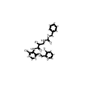 O=C(NCC(F)C(=O)Nc1c(Cl)ncnc1NCc1ncccc1F)OCc1ccccc1